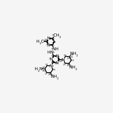 Cc1cc(NNc2nc(N3C[C@H](N)C[C@H](N)C3)nc(N3C[C@H](N)C[C@H](N)C3)n2)nc(C)n1